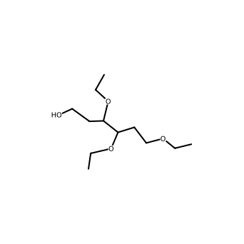 CCOCCC(OCC)C(CCO)OCC